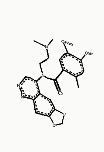 COc1cc(C)c(C(=O)N(CCN(C)C)c2cnnc3cc4c(cc23)OCO4)cc1OC